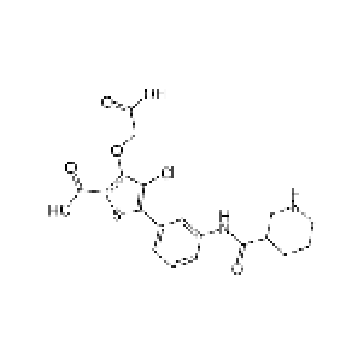 O=C(O)COc1c(C(=O)O)sc(-c2cccc(NC(=O)C3CCCNC3)c2)c1Cl